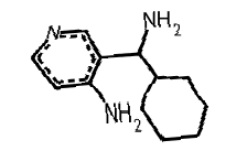 Nc1ccncc1C(N)C1CCCCC1